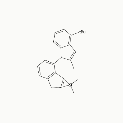 CC1=Cc2c(cccc2C(C)(C)C)C1c1cccc2c1C1=C([CH]2)[Si]1(C)C